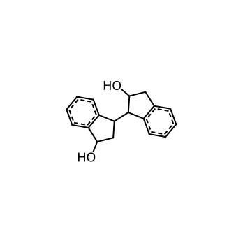 OC1CC(C2c3ccccc3CC2O)c2ccccc21